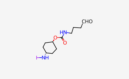 O=CCCCNC(=O)O[C@H]1CC[C@H](NI)CC1